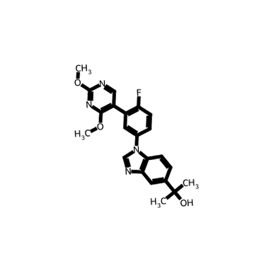 COc1ncc(-c2cc(-n3cnc4cc(C(C)(C)O)ccc43)ccc2F)c(OC)n1